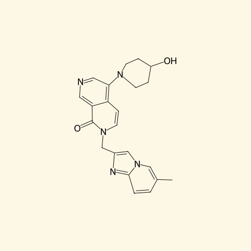 Cc1ccc2nc(Cn3ccc4c(N5CCC(O)CC5)cncc4c3=O)cn2c1